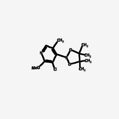 COc1ncc(C)c(B2OC(C)(C)C(C)(C)O2)c1Cl